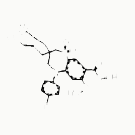 CCCCC1(CCCC)CN(c2ccc(F)cc2)c2cc(OC)c(C(=O)OC)cc2S(=O)(=O)C1